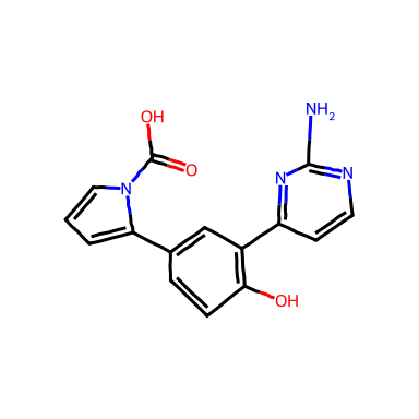 Nc1nccc(-c2cc(-c3cccn3C(=O)O)ccc2O)n1